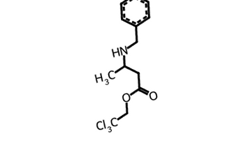 CC(CC(=O)OCC(Cl)(Cl)Cl)NCc1ccccc1